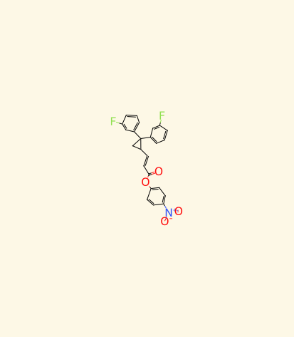 O=C(/C=C/C1CC1(c1cccc(F)c1)c1cccc(F)c1)Oc1ccc([N+](=O)[O-])cc1